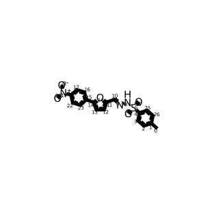 Cc1ccc(S(=O)(=O)NN=Cc2ccc(-c3ccc([N+](=O)[O-])cc3)o2)cc1